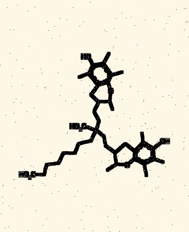 Cc1c(C)c2c(c(C)c1O)CC(CCC(CCCCCCCC(=O)O)(CCC1Cc3c(C)c(O)c(C)c(C)c3OC1C)C(=O)O)C(C)O2